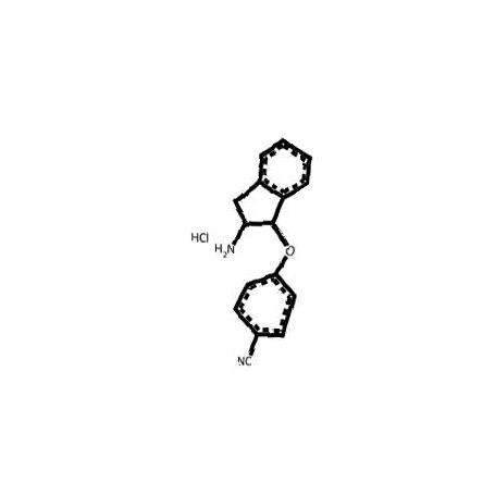 Cl.N#Cc1ccc(OC2c3ccccc3CC2N)cc1